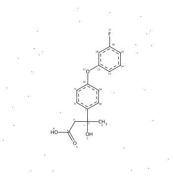 CC(O)(CC(=O)O)c1ccc(Oc2cccc(F)c2)cc1